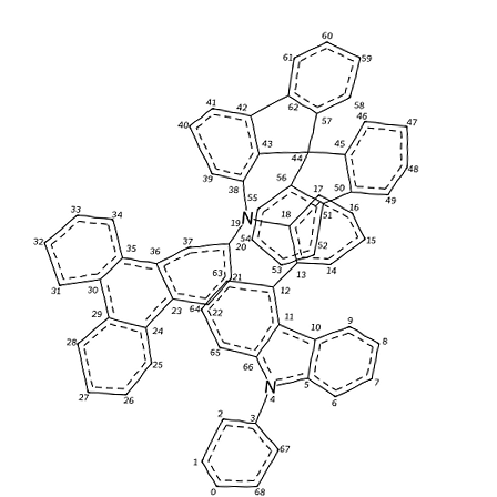 c1ccc(-n2c3ccccc3c3c(-c4ccccc4N(c4ccc5c6ccccc6c6ccccc6c5c4)c4cccc5c4C4(c6ccccc6-c6ccccc64)c4ccccc4-5)cccc32)cc1